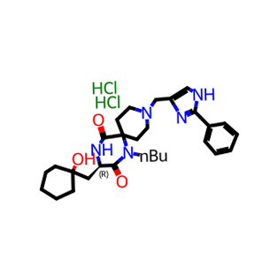 CCCCN1C(=O)[C@@H](CC2(O)CCCCC2)NC(=O)C12CCN(Cc1c[nH]c(-c3ccccc3)n1)CC2.Cl.Cl